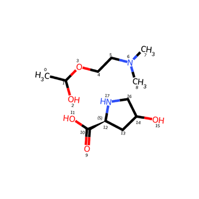 CC(O)OCCN(C)C.O=C(O)[C@@H]1CC(O)CN1